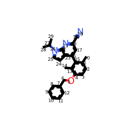 Cc1ccc(OCc2ccccc2)c(C)c1-c1cc(C#N)nc2c1ccn2C(C)C